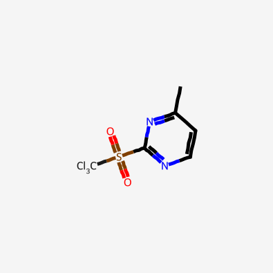 Cc1ccnc(S(=O)(=O)C(Cl)(Cl)Cl)n1